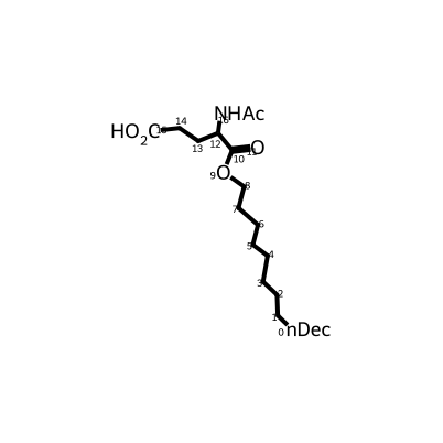 CCCCCCCCCCCCCCCCCCOC(=O)C(CCC(=O)O)NC(C)=O